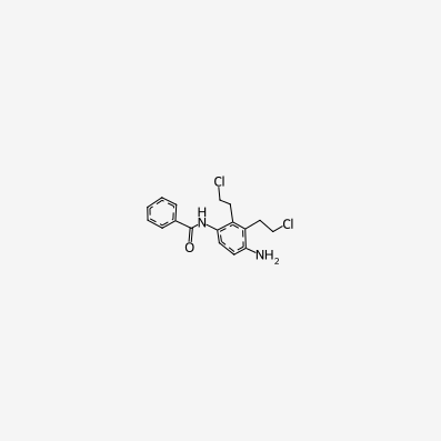 Nc1ccc(NC(=O)c2ccccc2)c(CCCl)c1CCCl